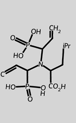 C=CC(N(C(CC(C)C)C(=O)O)C(C=C)P(=O)(O)O)P(=O)(O)O